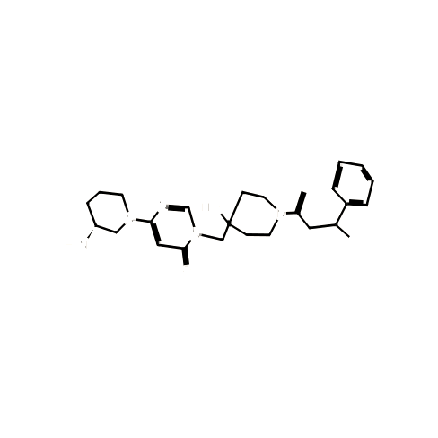 CC(CC(=O)N1CCC(O)(Cn2cnc(N3CCC[C@H](N)C3)cc2=O)CC1)c1ccccc1